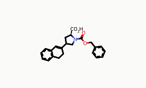 O=C(O)[C@@H]1CC(C2=Cc3ccccc3CC2)CN1C(=O)OCc1ccccc1